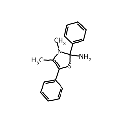 CC1=C(c2ccccc2)SC(N)(c2ccccc2)N1C